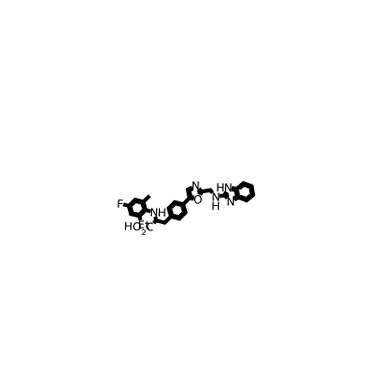 CCc1cc(F)cc(C)c1NC(Cc1ccc(-c2cnc(CNc3nc4ccccc4[nH]3)o2)cc1)C(=O)O